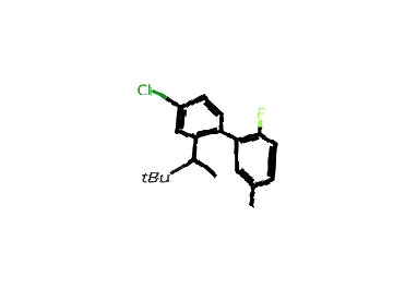 Cc1ccc(F)c(-c2ccc(Cl)cc2C(C)C(C)(C)C)c1